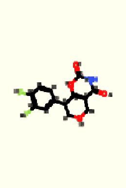 O=c1[nH]c(=O)c2c(o1)C(c1ccc(F)c(F)c1)COC2